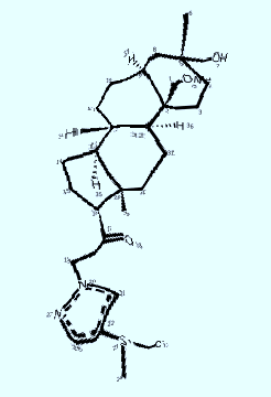 COC[C@]12CC[C@@](C)(O)C[C@@H]1CC[C@H]1[C@@H]3CC[C@H](C(=O)Cn4cc([S+](C)[O-])cn4)[C@@]3(C)CC[C@@H]12